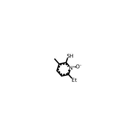 CCc1ccc(C)c(S)[n+]1[O-]